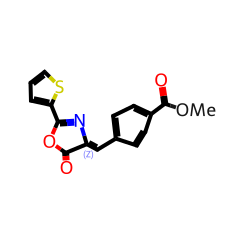 COC(=O)c1ccc(/C=C2\N=C(c3cccs3)OC2=O)cc1